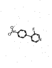 O=[N+]([O-])c1ccc(-c2ccncc2F)cc1